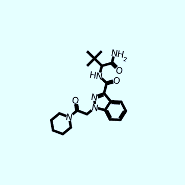 CC(C)(C)C(NC(=O)c1nn(CC(=O)N2CCCCC2)c2ccccc12)C(N)=O